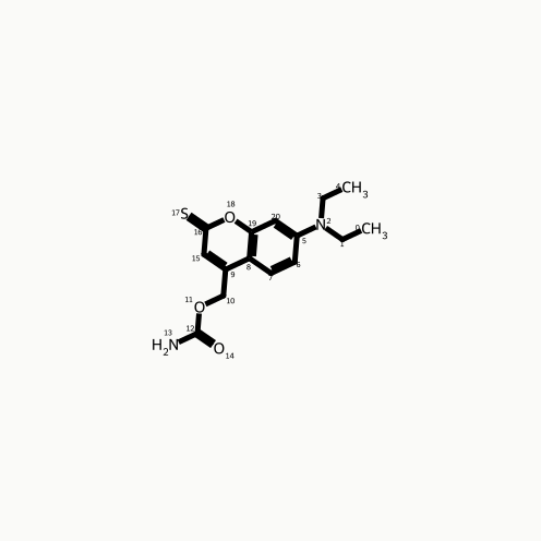 CCN(CC)c1ccc2c(COC(N)=O)cc(=S)oc2c1